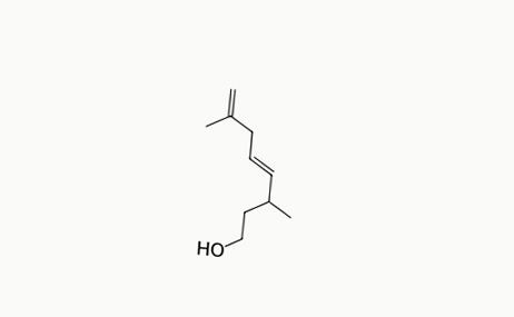 C=C(C)CC=CC(C)CCO